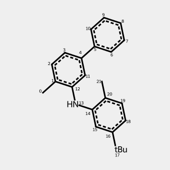 Cc1ccc(-c2ccccc2)cc1Nc1cc(C(C)(C)C)ccc1C